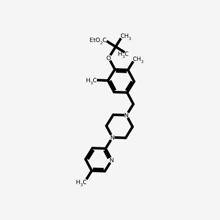 CCOC(=O)C(C)(C)Oc1c(C)cc(CN2CCN(c3ccc(C)cn3)CC2)cc1C